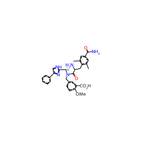 COc1ccc(CN(C(=O)C(N)Cc2c(C)cc(C(N)=O)cc2C)[C@@H](C)c2nc(-c3ccccc3)c[nH]2)cc1C(=O)O